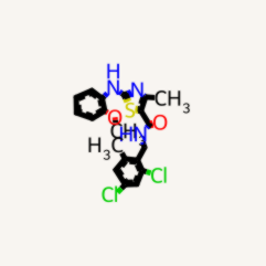 COc1ccccc1Nc1nc(C)c(C(=O)NCc2c(C)cc(Cl)cc2Cl)s1